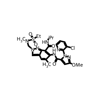 CCS(=O)(=O)N(C)Cn1cc2cc(C)c(NC(=O)c3cc(OC)nn3-c3ncccc3Cl)c(C(=O)NC(C)C)c2n1